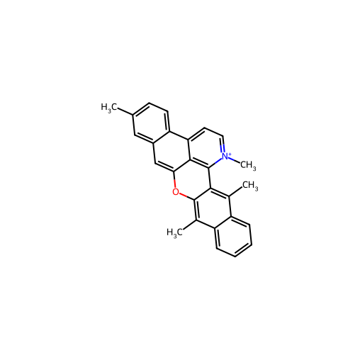 Cc1ccc2c(c1)cc1c3c([n+](C)ccc32)-c2c(c(C)c3ccccc3c2C)O1